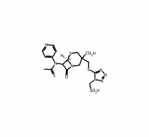 CC(=S)N(c1ccncc1)C1C(=O)N2CC(CSc3nnnn3CS(=O)(=O)O)(C(=O)O)CS[C@H]12